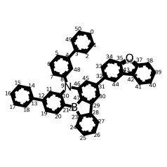 c1ccc(-c2cccc(N3c4cc(-c5ccccc5)ccc4B4c5ccccc5-c5cc(-c6ccc7oc8ccccc8c7c6)cc3c54)c2)cc1